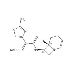 CON=C(C(=O)N[C@@H]1CN2C=CCC[C@@H]12)c1csc(N)n1